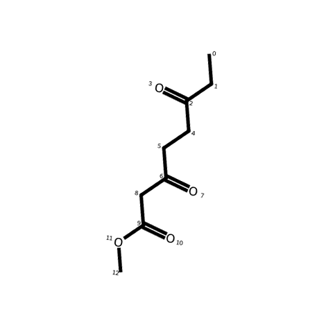 CCC(=O)CCC(=O)CC(=O)OC